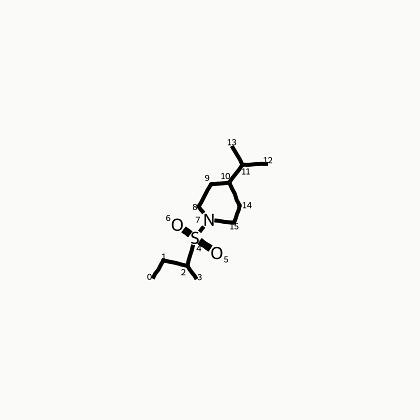 CCC(C)S(=O)(=O)N1CCC(C(C)C)CC1